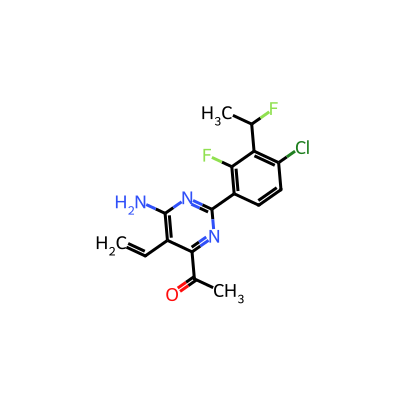 C=Cc1c(N)nc(-c2ccc(Cl)c(C(C)F)c2F)nc1C(C)=O